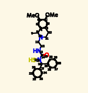 COc1cc2c(cc1OC)C(C)N(CCNC(=O)N(S)C(c1ccccc1)c1ccccc1)CC2